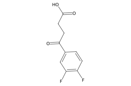 O=C(O)CCC(=O)c1ccc(F)c(F)c1